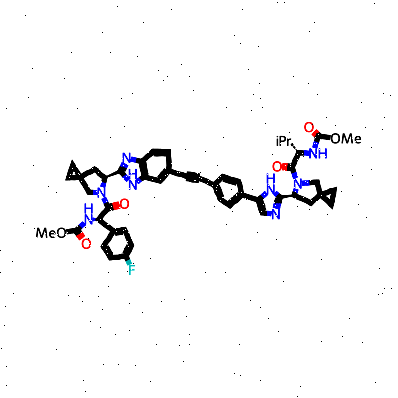 COC(=O)N[C@H](C(=O)N1CC2(CC2)C[C@H]1c1ncc(-c2ccc(C#Cc3ccc4nc([C@@H]5CC6(CC6)CN5C(=O)[C@H](NC(=O)OC)c5ccc(F)cc5)[nH]c4c3)cc2)[nH]1)C(C)C